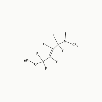 CCCOC(F)(F)/C(F)=C(\F)C(F)(F)N(C)C(F)(F)F